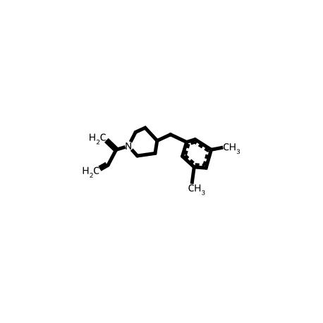 C=CC(=C)N1CCC(Cc2cc(C)cc(C)c2)CC1